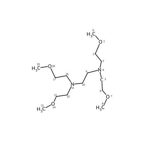 COCCN(CCOC)CCN(CCOC)CCOC